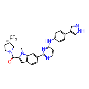 Cn1c(C(=O)N2CC[C@H](C(F)(F)F)C2)cc2ccc(-c3nccc(Nc4ccc(-c5cn[nH]c5)cc4)n3)cc21